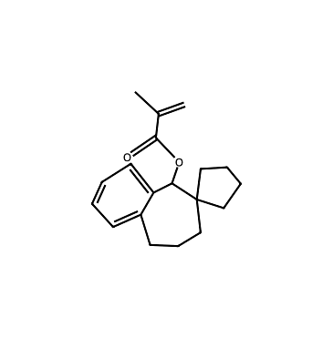 C=C(C)C(=O)OC1c2ccccc2CCCC12CCCC2